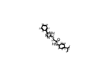 CC(C)C1=CCC(NC(=O)CSc2nnc(-c3ccccc3)[nH]2)C=C1